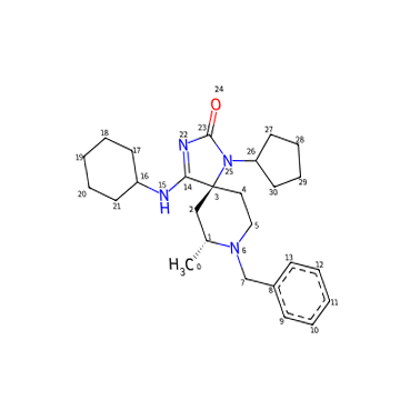 C[C@@H]1C[C@@]2(CCN1Cc1ccccc1)C(NC1CCCCC1)=NC(=O)N2C1CCCC1